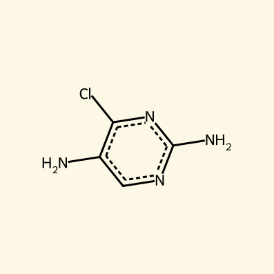 Nc1ncc(N)c(Cl)n1